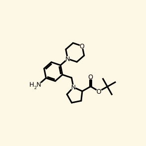 CC(C)(C)OC(=O)C1CCCN1Cc1cc(N)ccc1N1CCOCC1